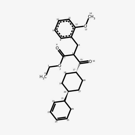 CCOC(=O)C(Cc1ccccc1OC)C(=O)[C@H]1CC[C@H](C2C=CC=CC2)CC1